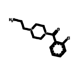 NCCN1CCN(C(=O)c2ccccc2Cl)CC1